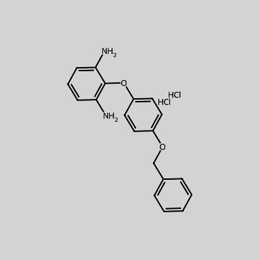 Cl.Cl.Nc1cccc(N)c1Oc1ccc(OCc2ccccc2)cc1